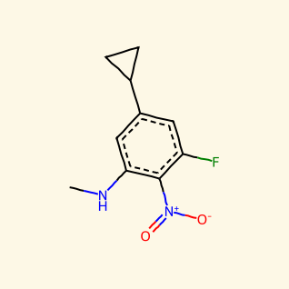 CNc1cc(C2CC2)cc(F)c1[N+](=O)[O-]